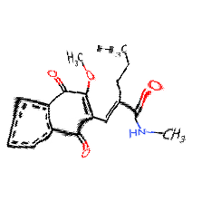 CCC/C(=C\C1=C(OC)C(=O)c2ccccc2C1=O)C(=O)NC